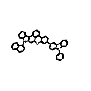 c1ccc(-n2c3ccccc3c3cc(-c4ccc5c(c4)Oc4cc6c(c7cccc-5c47)c4ccccc4n6-c4cccc5ccccc45)ccc32)cc1